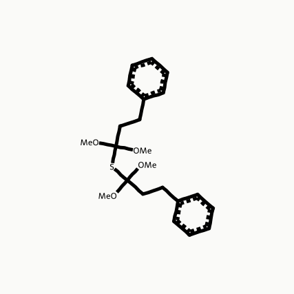 COC(CCc1ccccc1)(OC)SC(CCc1ccccc1)(OC)OC